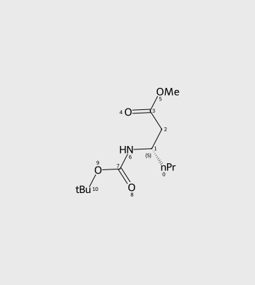 CCC[C@@H](CC(=O)OC)NC(=O)OC(C)(C)C